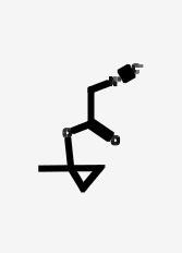 [C-]#[N+]CC(=O)OC1(C)CC1